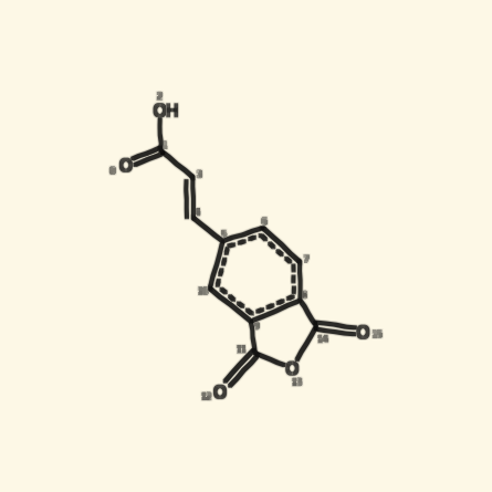 O=C(O)C=Cc1ccc2c(c1)C(=O)OC2=O